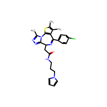 Cc1sc2c(c1C)C(c1ccc(Cl)cc1)=NC(CC(=O)NCCCn1cccc1)c1nnc(C)n1-2